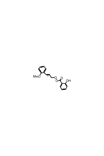 COc1ccccc1/C=C/COOC(=O)c1ccccc1O